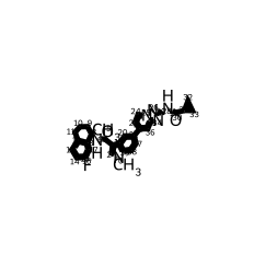 Cn1cc(C(=O)N[C@]2(C)CCCc3ccc(F)cc32)c2cc(-c3ccn4nc(NC(=O)C5CC5)nc4c3)ccc21